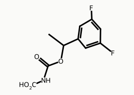 CC(OC(=O)NC(=O)O)c1cc(F)cc(F)c1